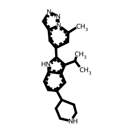 Cc1cc(-c2[nH]c3ccc(C4CCNCC4)cc3c2C(C)C)cc2cnnn12